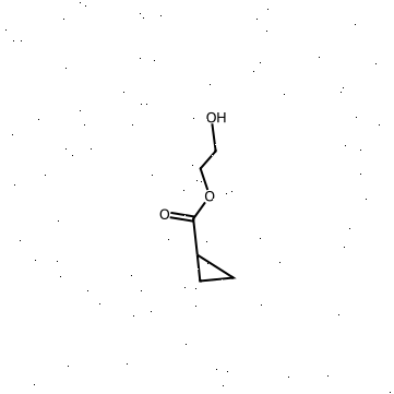 O=C(OCCO)C1CC1